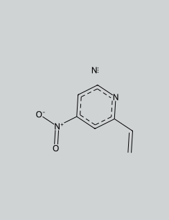 C=Cc1cc([N+](=O)[O-])ccn1.[N]